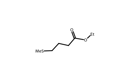 CCOC(=O)CCCSC